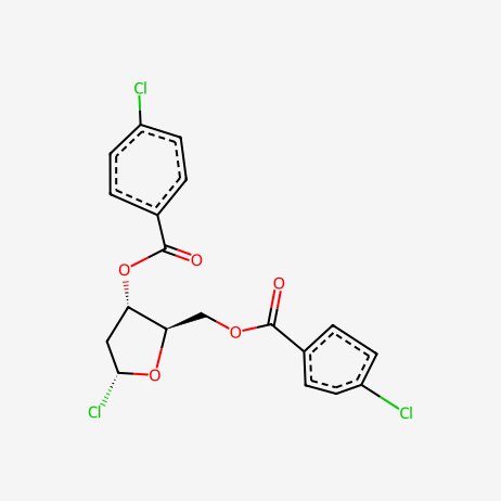 O=C(OC[C@H]1O[C@H](Cl)C[C@@H]1OC(=O)c1ccc(Cl)cc1)c1ccc(Cl)cc1